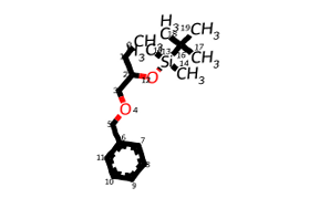 CCC(COCc1ccccc1)O[Si](C)(C)C(C)(C)C